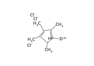 CC1=C(C)C(C)[PH]([Zr+3])=C1C.[Cl-].[Cl-].[Cl-]